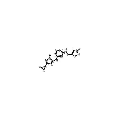 Cc1cc(CNc2nccc(Nc3cc(C4CC4)n[nH]3)n2)on1